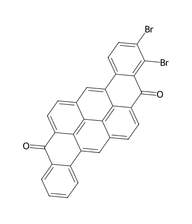 O=c1c2ccccc2c2cc3ccc4c(=O)c5c(Br)c(Br)ccc5c5cc6ccc1c2c6c3c45